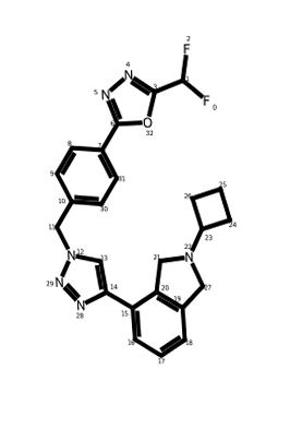 FC(F)c1nnc(-c2ccc(Cn3cc(-c4cccc5c4CN(C4CCC4)C5)nn3)cc2)o1